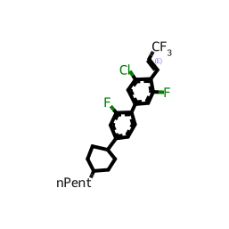 CCCCCC1CCC(c2ccc(-c3cc(F)c(/C=C/C(F)(F)F)c(Cl)c3)c(F)c2)CC1